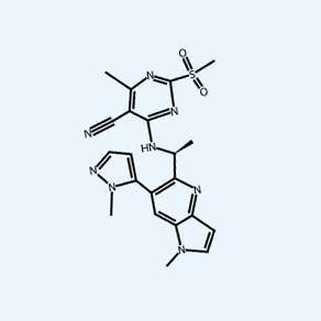 Cc1nc(S(C)(=O)=O)nc(N[C@@H](C)c2nc3ccn(C)c3cc2-c2ccnn2C)c1C#N